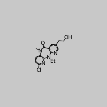 CCN1c2ncc(CCO)cc2C(=O)N(C)c2ccc(Cl)nc21